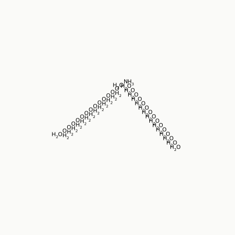 N.O.O.O.O.O.O.O.O.O.O.O.O.O.O.O.O.O.O.O.O.O.O.O.O.O.O.O.O.O.O